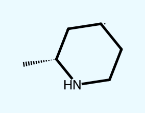 C[C@@H]1C[CH]CCN1